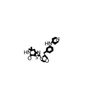 CC1(C)Cc2nc(N3CCOC[C@@H]3Cc3cccc(Nc4ccncc4)c3)sc2C(=O)N1